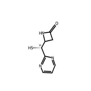 O=C1CC([C@@H](S)c2ncccn2)N1